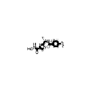 COc1ccc(C(=O)N[C@@H](C)c2ncc(C(=O)NO)s2)cc1